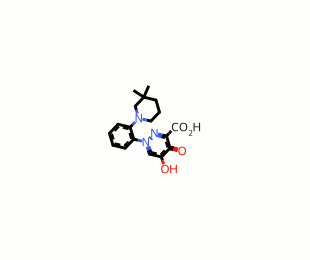 CC1(C)CCCN(c2ccccc2-n2cc(O)c(=O)c(C(=O)O)n2)C1